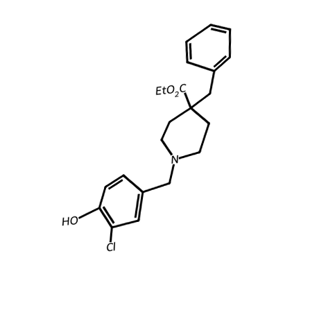 CCOC(=O)C1(Cc2ccccc2)CCN(Cc2ccc(O)c(Cl)c2)CC1